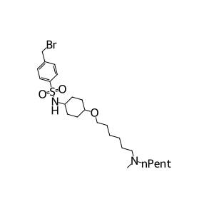 CCCCCN(C)CCCCCCOC1CCC(NS(=O)(=O)c2ccc(CBr)cc2)CC1